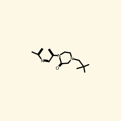 C=C(C)/N=C\C(=C)N1CCN(CC(C)(C)C)CC1=O